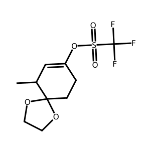 CC1C=C(OS(=O)(=O)C(F)(F)F)CCC12OCCO2